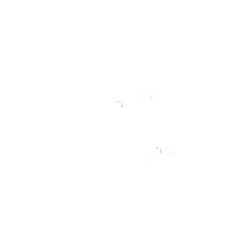 C#Cc1cccc(N=Cc2cc([N+](=O)[O-])ccc2O)c1